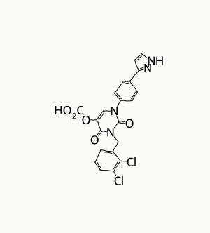 O=C(O)Oc1cn(-c2ccc(-c3cc[nH]n3)cc2)c(=O)n(Cc2cccc(Cl)c2Cl)c1=O